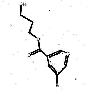 O=C(OCCCO)c1cncc(Br)c1